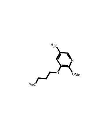 Bc1cnc(OC)c(OCCCOC)c1